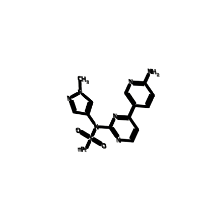 CCCS(=O)(=O)N(c1cnn(C)c1)c1nccc(-c2ccc(N)nc2)n1